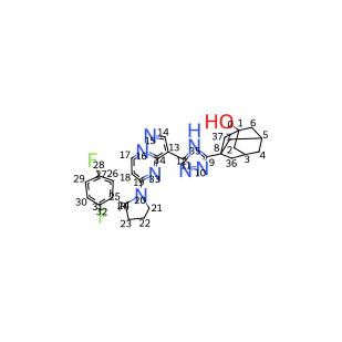 OC12CC3CC(C1)CC(c1nnc(-c4cnn5ccc(N6CCC[C@@H]6c6cc(F)ccc6F)nc45)[nH]1)(C3)C2